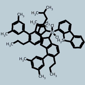 CCCc1ccc2c(c1-c1cc(C)cc(C)c1)C=C(CC(C)C)[CH]2[Zr]([Cl])([Cl])([c]1cccc2c1[SiH2]c1ccccc1-2)[CH]1C(CC(C)C)=Cc2c1ccc(CCC)c2-c1cc(C)cc(C)c1